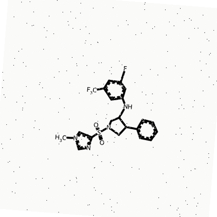 Cn1cnc(S(=O)(=O)N2CC(Nc3cc(F)cc(C(F)(F)F)c3)C(c3ccccc3)C2)c1